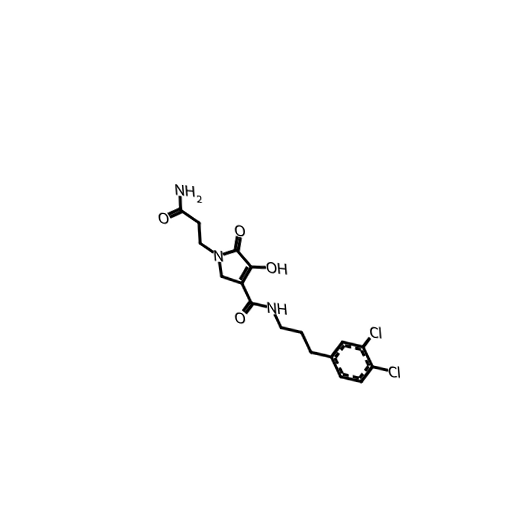 NC(=O)CCN1CC(C(=O)NCCCc2ccc(Cl)c(Cl)c2)=C(O)C1=O